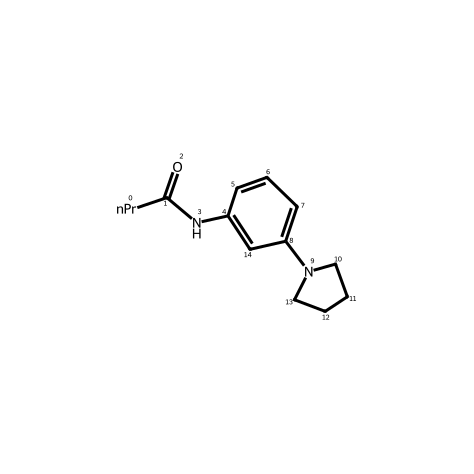 CCCC(=O)Nc1cccc(N2CCCC2)c1